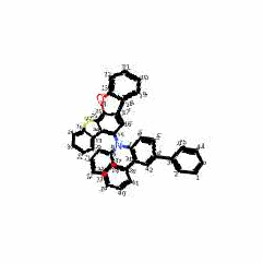 c1ccc(-c2ccc(N(c3ccccc3)c3cc4c5ccccc5oc4c4sc5ccccc5c34)c(-c3ccccc3)c2)cc1